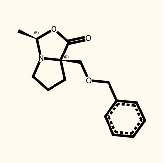 C[C@H]1OC(=O)[C@]2(COCc3ccccc3)CCCN12